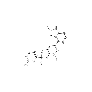 Cc1cc2c(-c3ccc(NS(=O)(=O)c4cccc(Cl)c4)c(F)c3)ncnc2[nH]1